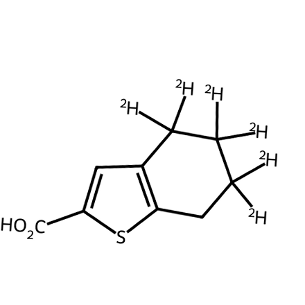 [2H]C1([2H])Cc2sc(C(=O)O)cc2C([2H])([2H])C1([2H])[2H]